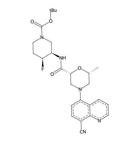 C[C@@H]1CN(c2ccc(C#N)c3ncccc23)C[C@H](C(=O)N[C@@H]2CN(C(=O)OC(C)(C)C)CC[C@@H]2F)O1